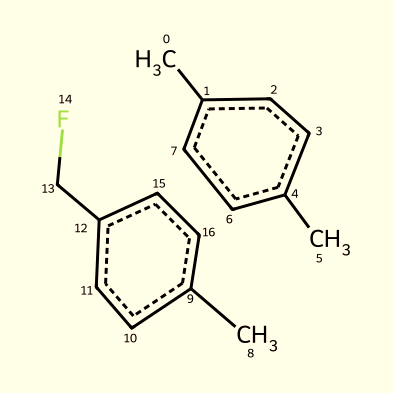 Cc1ccc(C)cc1.Cc1ccc(CF)cc1